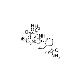 CCC(C)OP(=O)(O)C(C)(C)Nc1c([N+](=O)[O-])ccc2c(S(N)(=O)=O)cccc12